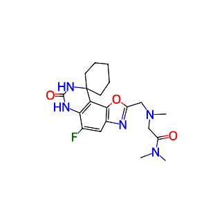 CN(CC(=O)N(C)C)Cc1nc2cc(F)c3c(c2o1)C1(CCCCC1)NC(=O)N3